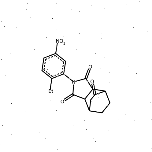 CCc1ccc([N+](=O)[O-])cc1N1C(=O)C2C3CCC(C(=O)C3)C2C1=O